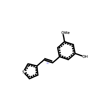 COc1cc(O)cc(/C=C/c2ccsc2)c1